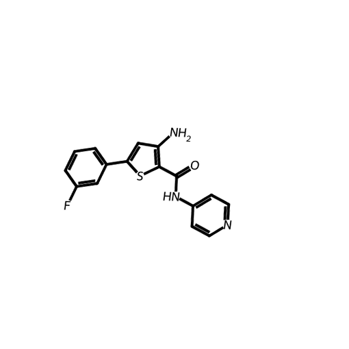 Nc1cc(-c2cccc(F)c2)sc1C(=O)Nc1ccncc1